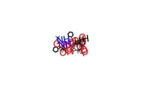 CC(=O)C[C@H]1C(=O)[C@]2(C)C=C[C@H]3OC[C@@]3(OC(C)=O)[C@H]2[C@H](OC(=O)c2ccccc2)[C@]2(O)CC(OC(=O)[C@H](O)[C@@H](NC(=O)NC(C)(C)C)c3ccccc3)=C(C)C1C2(C)C